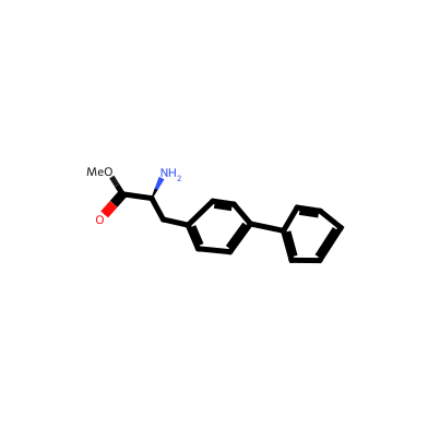 COC(=O)[C@@H](N)Cc1ccc(-c2ccccc2)cc1